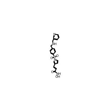 O=C(/C=C/c1ccn(S(=O)(=O)c2ccc(CNCc3cccnc3)cc2)c1)NO